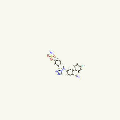 N#Cc1ccc(N(Cc2ccc(OS(N)(=O)=O)cc2)n2cnnc2)cc1-c1ccc(F)cc1